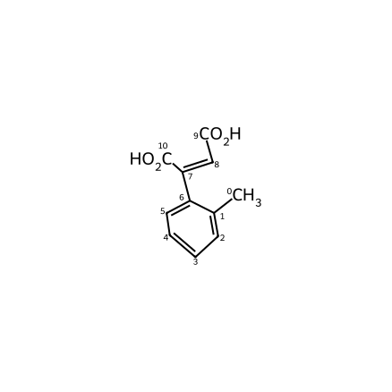 Cc1ccccc1C(=CC(=O)O)C(=O)O